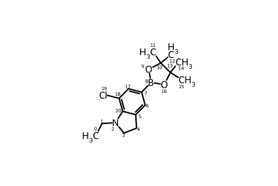 CCN1CCc2cc(B3OC(C)(C)C(C)(C)O3)cc(Cl)c21